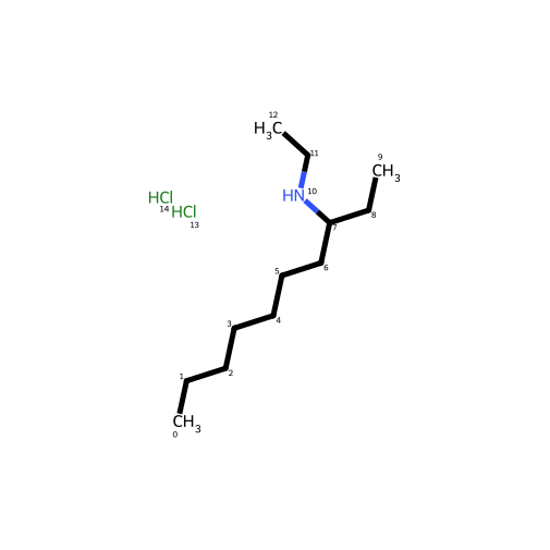 CCCCCCCC(CC)NCC.Cl.Cl